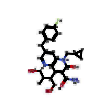 CC(CO)C(CO)c1c(C(N)=O)c(=O)n(CC2CC2)c2cc(Cc3ccc(F)cc3)cnc12